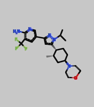 CC(C)n1nc(-c2cnc(N)c(C(F)(F)F)c2)cc1[C@@H]1CC[C@@H](N2CCOCC2)C[C@@H]1C